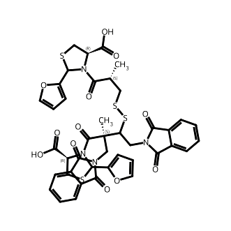 C[C@H](CSSC(CN1C(=O)c2ccccc2C1=O)[C@@](C)(CN1C(=O)c2ccccc2C1=O)C(=O)N1C(c2ccco2)SC[C@H]1C(=O)O)C(=O)N1C(c2ccco2)SC[C@H]1C(=O)O